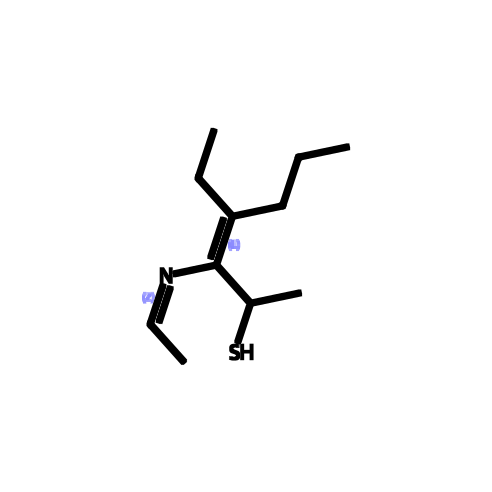 C/C=N\C(=C(/CC)CCC)C(C)S